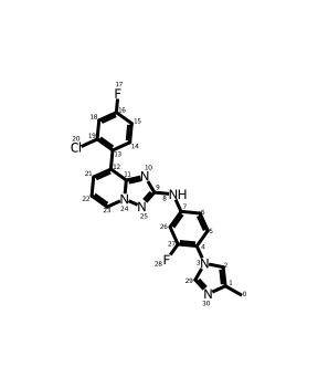 Cc1cn(-c2ccc(Nc3nc4c(-c5ccc(F)cc5Cl)cccn4n3)cc2F)cn1